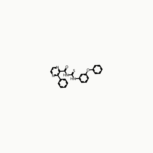 O=C(NC(=S)Nc1cccc(Oc2ccccc2)c1)c1nccnc1-c1ccccc1